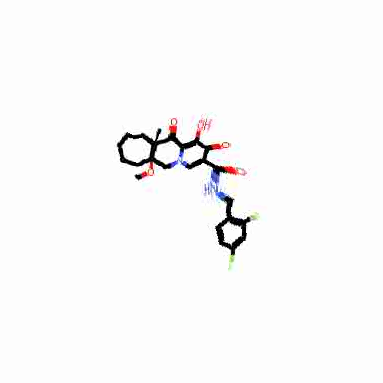 CO[C@@]12CCCCC[C@]1(C)C(=O)c1c(O)c(=O)c(C(=O)NCc3ccc(F)cc3F)cn1C2